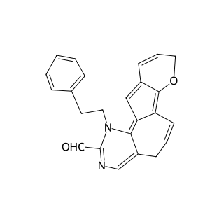 O=CC1=NC=C2CC=CC3=C4OCC=CC4=CC3=C2N1CCc1ccccc1